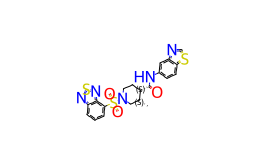 C[C@@H]1CN(S(=O)(=O)c2cccc3nsnc23)CC[C@@H]1C(=O)Nc1ccc2scnc2c1